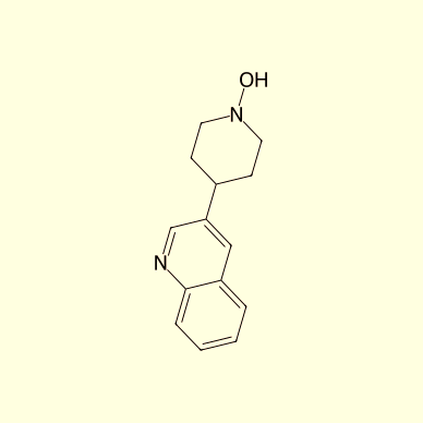 ON1CCC(c2cnc3ccccc3c2)CC1